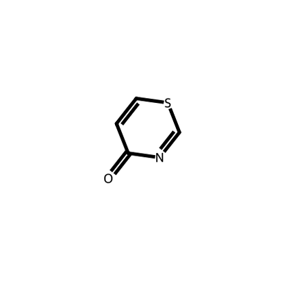 O=c1ccscn1